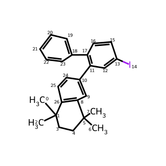 CC1(C)CCC(C)(C)c2cc(-c3cc(I)ccc3-c3ccccc3)ccc21